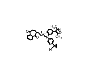 Cc1ccc(-c2c(C)noc2C)cc1N(CCCCC1CCC(=O)c2ccccc2C1=O)c1ccc(C2(C#N)CC2)cc1